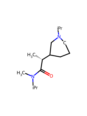 CC(C)N1CCCC([C@@H](C)C(=O)N(C)C(C)C)C1